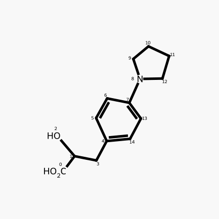 O=C(O)C(O)Cc1ccc(N2CCCC2)cc1